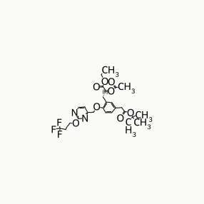 CCOC(=O)[C@@H](Cc1cc(CC(=O)OC(C)(C)C)ccc1OCc1ccnc(OCCC(F)(F)F)n1)OC(C)=O